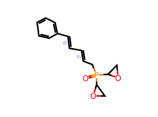 O=P(C/C=C/C=C/c1ccccc1)(C1CO1)C1CO1